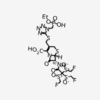 CCOP(=O)(O)Cn1nnnc1SCC1=C(C(=O)O)N2C(=O)[C@@H](NC(=O)C([S+]([O-])CF)([S+]([O-])CF)[S+]([O-])CF)[C@H]2SC1